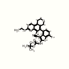 CCSc1ncc2c3c(c(-c4ccc(F)c5sc(NC(=O)OC(C)(C)C)c(C#N)c45)c(C)c2n1)COCC3